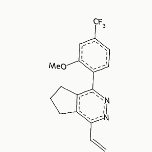 C=Cc1nnc(-c2ccc(C(F)(F)F)cc2OC)c2c1CCC2